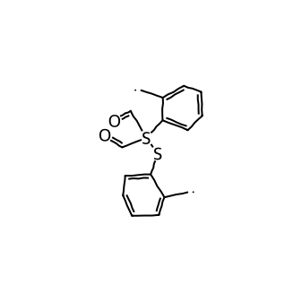 [CH2]c1ccccc1SS(C=O)(C=O)c1ccccc1[CH2]